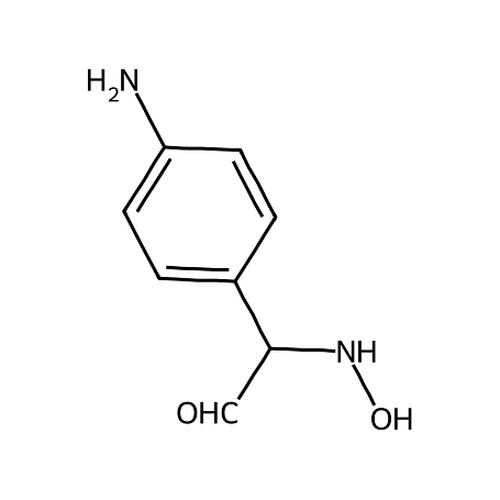 Nc1ccc(C(C=O)NO)cc1